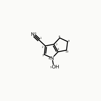 N#Cc1cn(O)c2c1CCC2